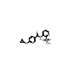 CS(=O)(=O)c1ncccc1NC(=O)c1ccc(OC2CC2)nc1